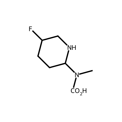 CN(C(=O)O)C1CCC(F)CN1